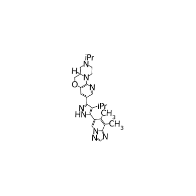 Cc1c(-c2[nH]nc(-c3cnc4c(c3)OC[C@@H]3CN(C(C)C)CCN43)c2C(C)C)cn2ncnc2c1C